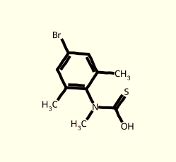 Cc1cc(Br)cc(C)c1N(C)C(O)=S